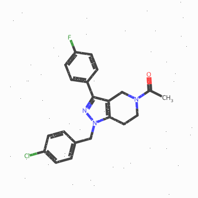 CC(=O)N1CCc2c(c(-c3ccc(F)cc3)nn2Cc2ccc(Cl)cc2)C1